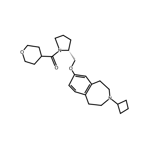 O=C(C1CCOCC1)N1CCC[C@@H]1COc1ccc2c(c1)CCN(C1CCC1)CC2